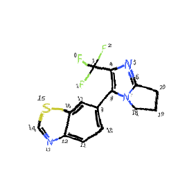 FC(F)(F)c1nc2n(c1-c1ccc3ncsc3c1)CCC2